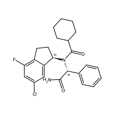 NC(=O)[C@@H](c1ccccc1)N(C(=O)C1CCCCC1)[C@@H]1CCc2c(F)cc(Cl)cc21